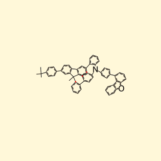 CC(C)(C)c1ccc(-c2ccc3c(c2)C(C)(C)c2ccc(-c4ccccc4N(c4ccc(-c5ccccc5)cc4)c4ccc(-c5cccc6oc7ccccc7c56)cc4)cc2-3)cc1